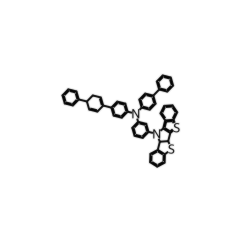 C1=CC(c2ccccc2)CC=C1c1ccc(N(c2ccc(-c3ccccc3)cc2)c2cccc(N3c4c(sc5ccccc45)C4Sc5ccccc5C43)c2)cc1